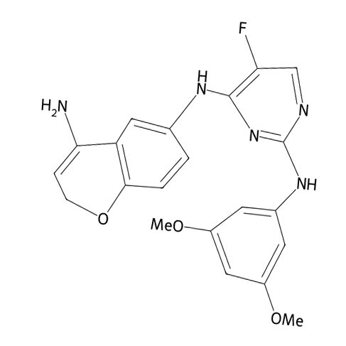 COc1cc(Nc2ncc(F)c(Nc3ccc4c(c3)C(N)=CCO4)n2)cc(OC)c1